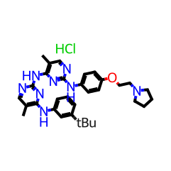 Cc1cnc(Nc2nc(Nc3ccc(OCCN4CCCC4)cc3)ncc2C)nc1Nc1cccc(C(C)(C)C)c1.Cl